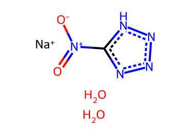 O.O.O=[N+]([O-])c1nnn[nH]1.[Na+]